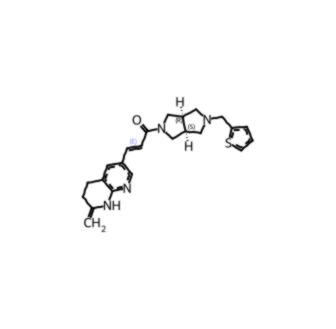 C=C1CCc2cc(/C=C/C(=O)N3C[C@H]4CN(Cc5cccs5)C[C@H]4C3)cnc2N1